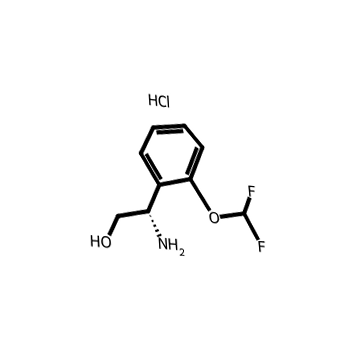 Cl.N[C@H](CO)c1ccccc1OC(F)F